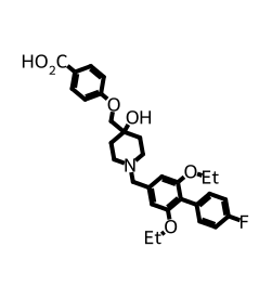 CCOc1cc(CN2CCC(O)(COc3ccc(C(=O)O)cc3)CC2)cc(OCC)c1-c1ccc(F)cc1